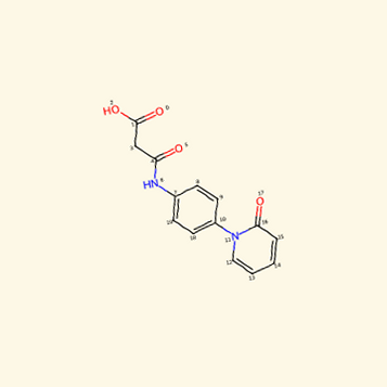 O=C(O)CC(=O)Nc1ccc(-n2ccccc2=O)cc1